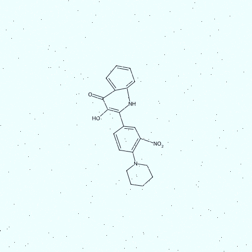 O=c1c(O)c(-c2ccc(N3CCCCC3)c([N+](=O)[O-])c2)[nH]c2ccccc12